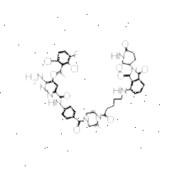 C[C@@H]1CN(C(=O)c2ccc(NC(=O)c3cc(O[C@H](C)c4c(Cl)ccc(F)c4Cl)c(N)nn3)cc2)C[C@H](C)N1C(=O)CCCCNc1cccc2c1C(=O)N(C1CCC(=O)NC1=O)C2=O